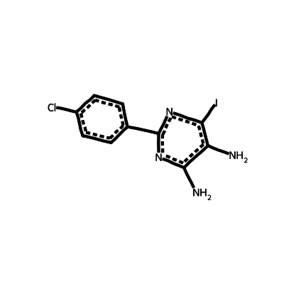 Nc1nc(-c2ccc(Cl)cc2)nc(I)c1N